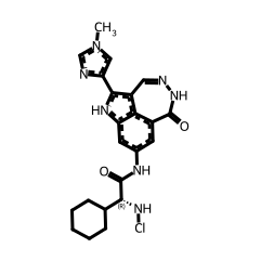 Cn1cnc(-c2[nH]c3cc(NC(=O)[C@H](NCl)C4CCCCC4)cc4c3c2C=NNC4=O)c1